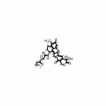 CC[C@@]1(O)C(=O)OCc2c1cc1n(c2=O)Cc2c-1nc1cc(F)c(C)c3c1c2[C@@H](NC(=O)CNC(=O)CN)CC3